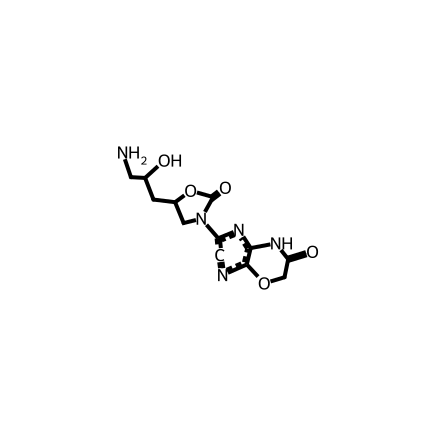 NCC(O)CC1CN(c2cnc3c(n2)NC(=O)CO3)C(=O)O1